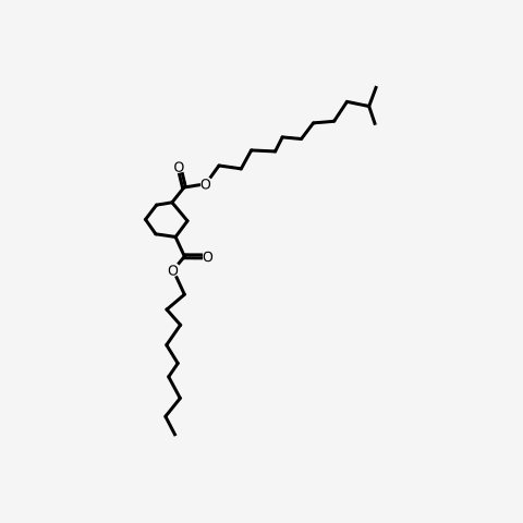 CCCCCCCCCOC(=O)C1CCCC(C(=O)OCCCCCCCCCC(C)C)C1